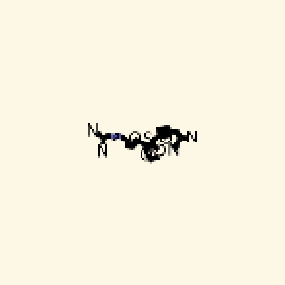 N#CC(C#N)=C/C=C/c1ccc(-c2sc(-c3ccc(C=C(C#N)C#N)o3)c3c2OCCO3)o1